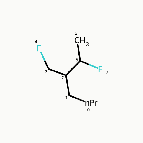 CCCCC(CF)C(C)F